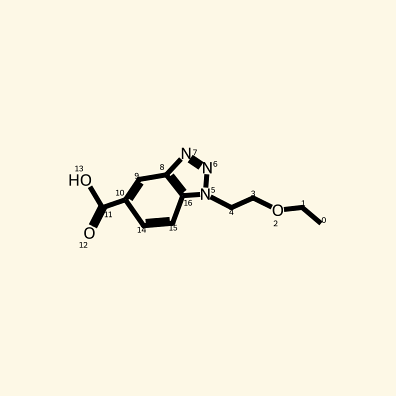 CCOCCn1nnc2cc(C(=O)O)ccc21